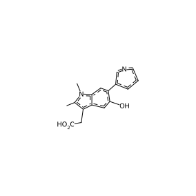 Cc1c(CC(=O)O)c2cc(O)c(-c3cccnc3)cc2n1C